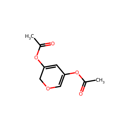 CC(=O)OC1=COCC(OC(C)=O)=C1